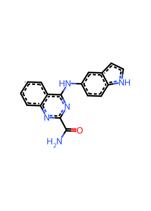 NC(=O)c1nc(Nc2ccc3[nH]ccc3c2)c2c[c]ccc2n1